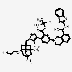 Cc1c(-c2ccc(N3CCc4cccc(C(O)Nc5nc6ccccc6s5)c4C3)nc2C(=O)OC(C)(C)C)cnn1CC12CC3(C)CC4(C)CC(OCCN)(C1)C32C4